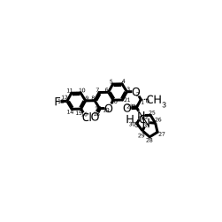 C[C@@H](Oc1ccc2cc(-c3ccc(F)cc3Cl)c(=O)oc2c1)C(=O)N1CC2CCC(C1)N2C